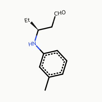 CC[C@@H](CC=O)Nc1cccc(C)c1